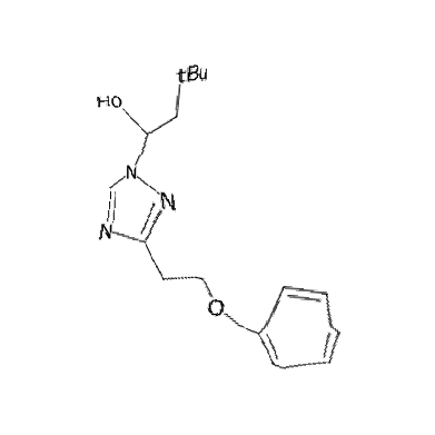 CC(C)(C)CC(O)n1cnc(CCOc2ccccc2)n1